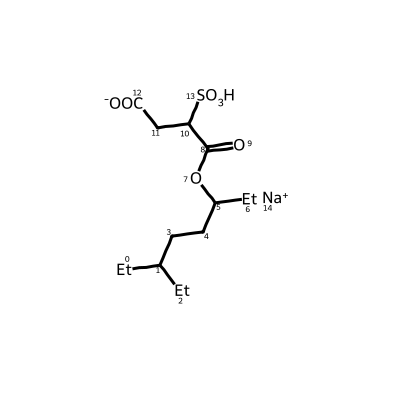 CCC(CC)CCC(CC)OC(=O)C(CC(=O)[O-])S(=O)(=O)O.[Na+]